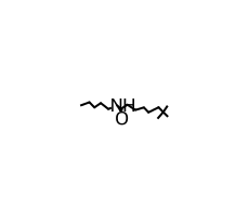 CCCCCNC(=O)CCCCCC(C)(C)C